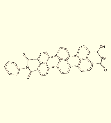 O=C1NC(O)c2ccc3c4ccc5c6ccc7c8c(ccc(c9ccc(c%10ccc1c2c%103)c4c95)c86)C(=O)N(c1ccccc1)C7=O